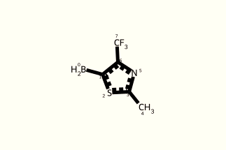 Bc1sc(C)nc1C(F)(F)F